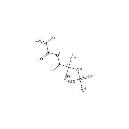 C=C(C)C(=O)OC(C)C(CCC)(CCC)OP(=O)(O)O